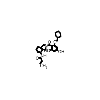 C/C=C/C(=O)Nc1cccc2c1CN(C(=O)c1c(O)cc(O)cc1OCC1CCCCC1)C2